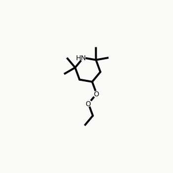 CCOOC1CC(C)(C)NC(C)(C)C1